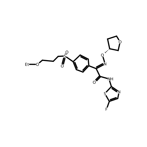 CCOCCCS(=O)(=O)c1ccc(/C(=N\O[C@@H]2CCOC2)C(=O)Nc2ncc(F)s2)cc1